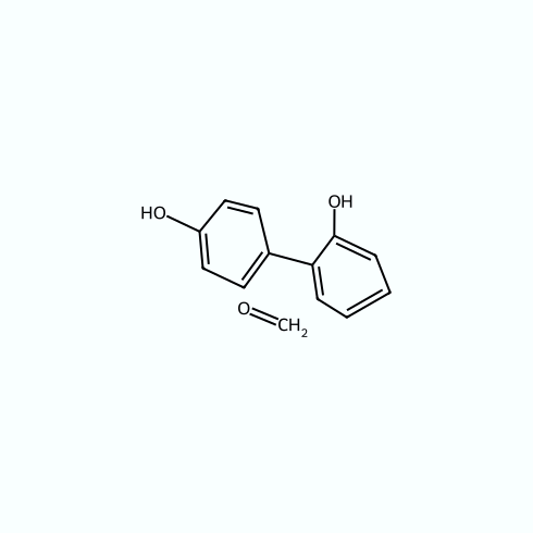 C=O.Oc1ccc(-c2ccccc2O)cc1